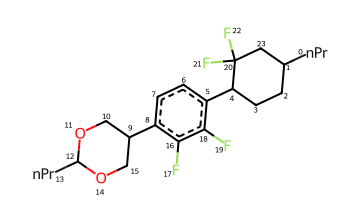 CCCC1CCC(c2ccc(C3COC(CCC)OC3)c(F)c2F)C(F)(F)C1